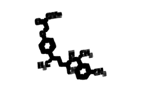 COC(=O)COc1ccc([C@@H](C)CCC(C)N[C@H](C)c2cccc(C)c2)cc1